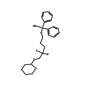 CC(C)(C)[Si](OCCCC(F)(F)COC1CCCCO1)(c1ccccc1)c1ccccc1